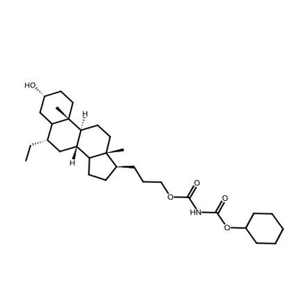 CC[C@H]1C[C@H]2C3CC[C@H](CCCOC(=O)NC(=O)OC4CCCCC4)[C@@]3(C)CC[C@@H]2[C@@]2(C)CC[C@@H](O)CC12